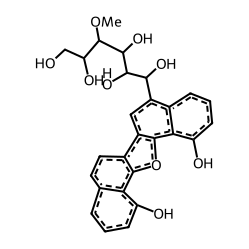 COC(C(O)CO)C(O)C(O)C(O)c1cc2c3ccc4cccc(O)c4c3oc2c2c(O)cccc12